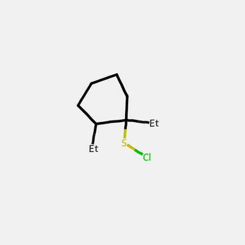 CCC1CCCCC1(CC)SCl